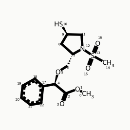 COC(=O)[C@H](OC[C@@H]1C[C@@H](S)CN1S(C)(=O)=O)c1ccccc1